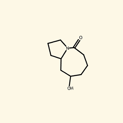 O=C1CCCC(O)CC2CCCN12